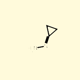 NN=C1CC1